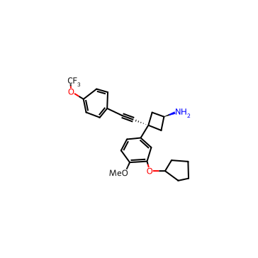 COc1ccc([C@]2(C#Cc3ccc(OC(F)(F)F)cc3)C[C@H](N)C2)cc1OC1CCCC1